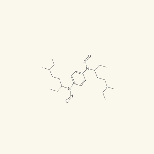 CCC(C)CCC(CC)N(N=O)c1ccc(N(N=O)C(CC)CCC(C)CC)cc1